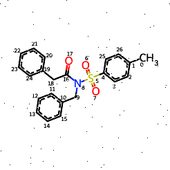 Cc1ccc(S(=O)(=O)N(Cc2ccccc2)C(=O)Cc2ccccc2)cc1